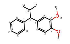 COc1ccc(C(c2ccccc2)C(C)C)cc1OC